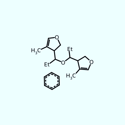 CCC(OC(CC)C1COC=C1C)C1COC=C1C.c1ccccc1